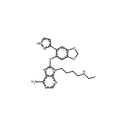 CCNCCCCn1c(Sc2cc3c(cc2-c2cc[nH]n2)OCO3)nc2c(N)ncnc21